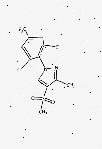 Cc1nn(-c2c(Cl)cc(C(F)(F)F)cc2Cl)cc1S(C)(=O)=O